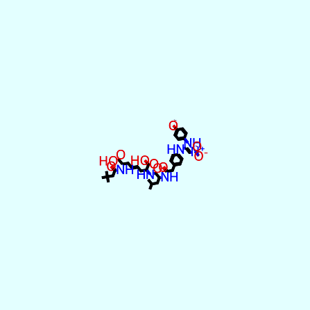 COc1ccc(NC(=C[N+](=O)[O-])Nc2ccc(CC(=O)NC(CC(C)C)C(=O)NC(CC=CCC(NC(=O)CC(C)(C)C)C(=O)O)C(=O)O)cc2)cc1